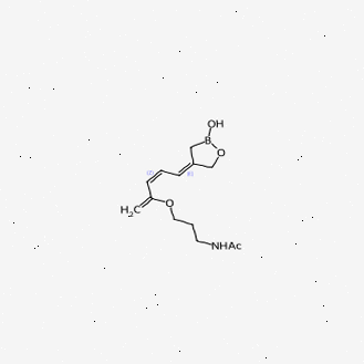 C=C(/C=C\C=C1\COB(O)C1)OCCCNC(C)=O